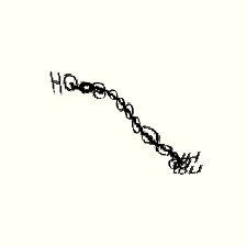 CC(C)(C)OC(=O)NCCOCCOCCOCCOCCOCCOCCC(=O)Oc1ccc(CO)cc1